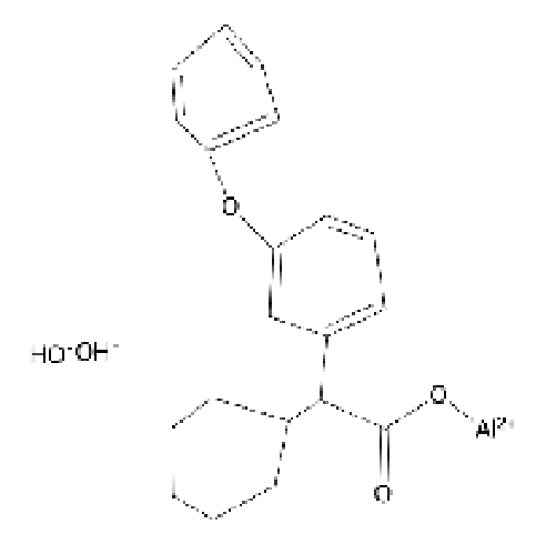 O=C([O][Al+2])C(c1cccc(Oc2ccccc2)c1)C1CCCCC1.[OH-].[OH-]